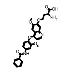 COc1cc2c(Oc3ccc(NC(=O)c4ccccc4)cc3OC)ccnc2cc1OCCC(N)C(=O)O